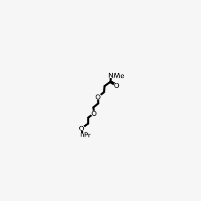 CCCOCCOCCOCCC(=O)NC